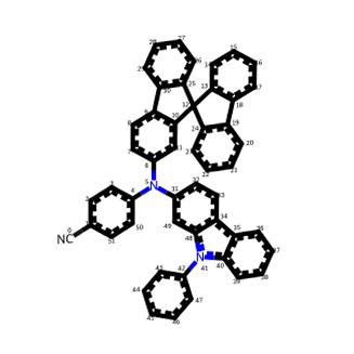 N#Cc1ccc(N(c2ccc3c(c2)C2(c4ccccc4-c4ccccc42)c2ccccc2-3)c2ccc3c4ccccc4n(-c4ccccc4)c3c2)cc1